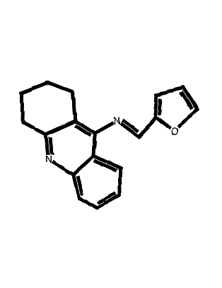 C(=Nc1c2c(nc3ccccc13)CCCC2)c1ccco1